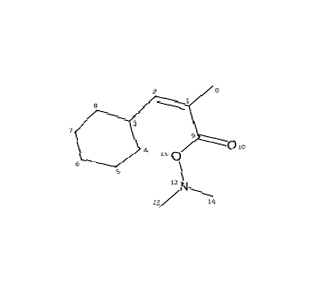 CC(=CC1CCCCC1)C(=O)ON(C)C